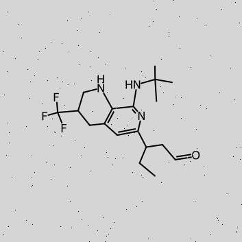 CCC(CC=O)c1cc2c(c(NC(C)(C)C)n1)NCC(C(F)(F)F)C2